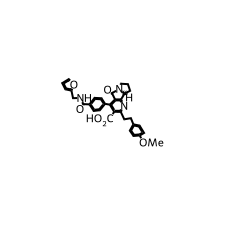 COc1ccc(CCc2nc3c(c(-c4ccc(C(=O)NCc5ccco5)cc4)c2C(=O)O)C(=O)N2CCC[C@H]32)cc1